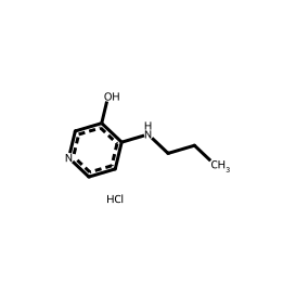 CCCNc1ccncc1O.Cl